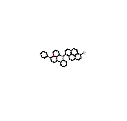 Brc1ccc2ccc3c(N(c4ccccc4)c4ccccc4-c4ccc(-c5ccccc5)cc4)ccc4ccc1c2c43